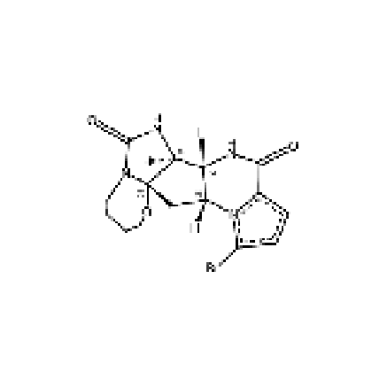 O=C1N[C@@H]2[C@@H](C[C@@]34OCCCCN3C(=O)N[C@@H]24)n2c(Br)ccc21